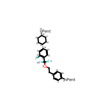 CCCCCc1ccc(CCOC(F)(F)c2ccc([C@H]3CC[C@H](CCCCC)CC3)cc2F)cc1